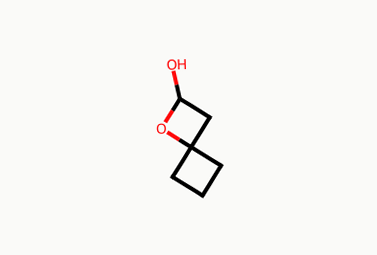 OC1CC2(CCC2)O1